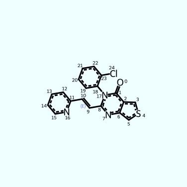 O=c1c2cscc2nc(/C=C/c2ccccn2)n1-c1ccccc1Cl